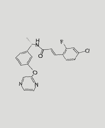 C[C@H](NC(=O)C=Cc1ccc(Cl)cc1F)c1cccc(Oc2cnccn2)c1